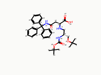 CC(C)(C)OC[C@@H](CN[C@@H](CC(=O)NC(c1ccccc1)(c1ccccc1)c1ccccc1)C(=O)O)NC(=O)OC(C)(C)C